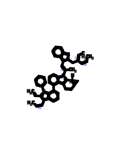 C=Cc1c(/C=C\C)c2cccc(-c3cccc4c3c3c(n4/C(C)=C/c4c(CC(/C=C\C)=C/C)sc5ccccc45)[C@@H]4C=C4C=C3)c2n1-c1ccccc1